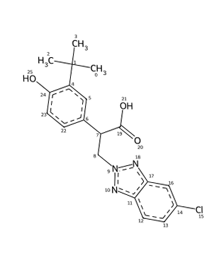 CC(C)(C)c1cc(C(Cn2nc3ccc(Cl)cc3n2)C(=O)O)ccc1O